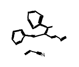 C=CC#N.C=CC=CC(C=Cc1ccccc1)=C(C)c1ccccc1